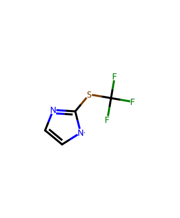 FC(F)(F)SC1=NC=C[N]1